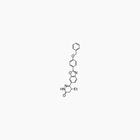 CCC1CC(=O)NN=C1c1ccc2nc(-c3ccc(OCc4ccccc4)cc3)oc2c1